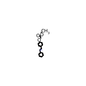 CCOC(=O)COc1ccc(/C=C/c2ccccc2)cc1